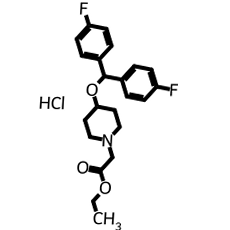 CCOC(=O)CN1CCC(OC(c2ccc(F)cc2)c2ccc(F)cc2)CC1.Cl